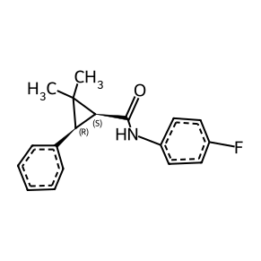 CC1(C)[C@H](c2ccccc2)[C@@H]1C(=O)Nc1ccc(F)cc1